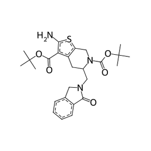 CC(C)(C)OC(=O)c1c(N)sc2c1CC(CN1Cc3ccccc3C1=O)N(C(=O)OC(C)(C)C)C2